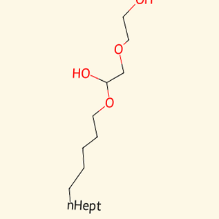 CCCCCCCCCCCCOC(O)COCCO